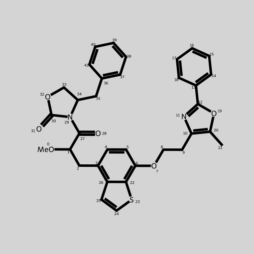 COC(Cc1ccc(OCCc2nc(-c3ccccc3)oc2C)c2sccc12)C(=O)N1C(=O)OCC1Cc1ccccc1